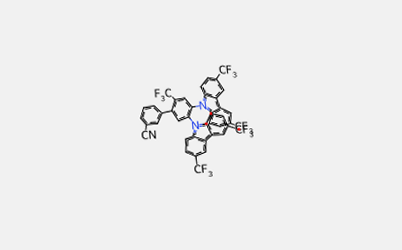 N#Cc1cccc(-c2cc(-n3c4ccc(C(F)(F)F)cc4c4cc(C(F)(F)F)ccc43)c(-n3c4ccc(C(F)(F)F)cc4c4cc(C(F)(F)F)ccc43)cc2C(F)(F)F)c1